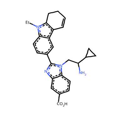 CCn1c2c(c3cc(-c4nc5cc(C(=O)O)ccc5n4CC(N)C4CC4)ccc31)C=CCC2